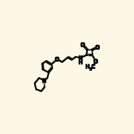 COc1c(NCC=CCOc2cccc(CN3CCCCC3)c2)c(=O)c1=O